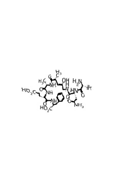 CC(C)[C@@H](N)C(=O)N[C@H](CC(N)=O)C(=O)NC[C@@H](O)C[C@@H](C)C(=O)N[C@@H](C)C(=O)N[C@@H](CCC(=O)O)C(=O)N[C@@H](Cc1ccccc1)C(=O)O